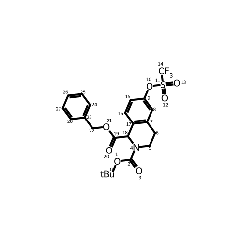 CC(C)(C)OC(=O)N1CCc2cc(OS(=O)(=O)C(F)(F)F)ccc2C1C(=O)OCc1ccccc1